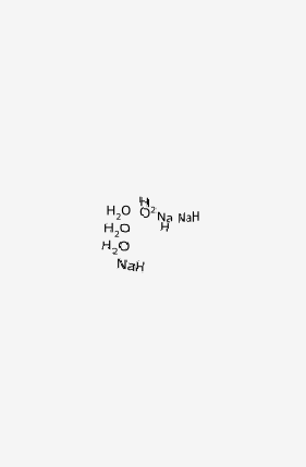 O.O.O.O.[NaH].[NaH].[NaH]